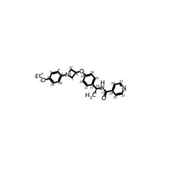 CCOc1ccc(N2CC(Oc3ccc([C@H](C)NC(=O)c4ccncc4)cc3)C2)cc1